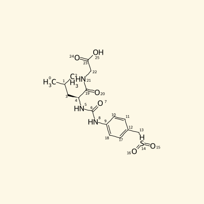 CC(C)C[C@H](NC(=O)Nc1ccc(C[SH](=O)=O)cc1)C(=O)NCC(=O)O